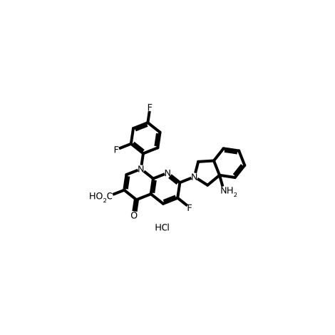 Cl.NC12C=CC=CC1CN(c1nc3c(cc1F)c(=O)c(C(=O)O)cn3-c1ccc(F)cc1F)C2